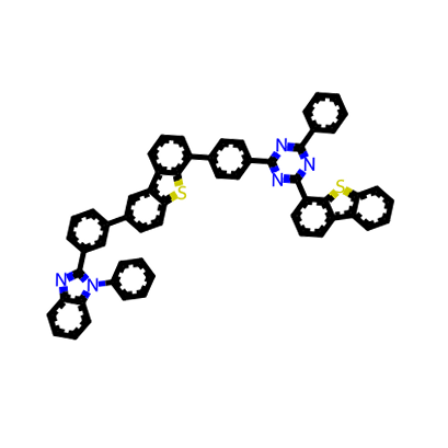 c1ccc(-c2nc(-c3ccc(-c4cccc5c4sc4ccc(-c6cccc(-c7nc8ccccc8n7-c7ccccc7)c6)cc45)cc3)nc(-c3cccc4c3sc3ccccc34)n2)cc1